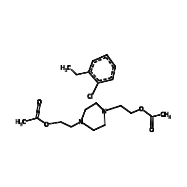 CC(=O)OCCN1CCN(CCOC(C)=O)CC1.CCc1ccccc1Cl